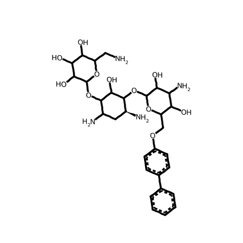 NCC1OC(OC2C(N)C[C@H](N)C(OC3OC(COc4ccc(-c5ccccc5)cc4)C(O)C(N)C3O)C2O)C(O)C(O)C1O